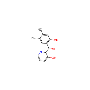 N#Cc1cc(O)c(C(=O)c2ncccc2O)cc1C#N